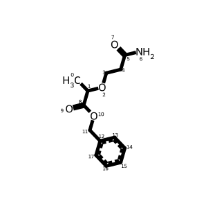 CC(OCCC(N)=O)C(=O)OCc1ccccc1